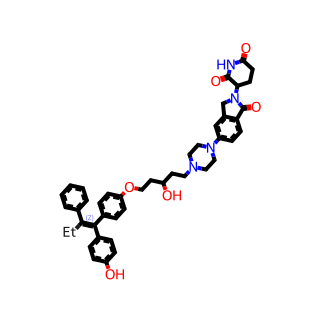 CC/C(=C(\c1ccc(O)cc1)c1ccc(OCCC(O)CCN2CCN(c3ccc4c(c3)CN(C3CCC(=O)NC3=O)C4=O)CC2)cc1)c1ccccc1